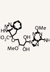 COc1nc(N)c2ncn([C@H](O)[C@H](O)[C@@H](CO[C@](Cc3ccccc3)(C(=O)O)c3nnn[nH]3)OC)c2n1